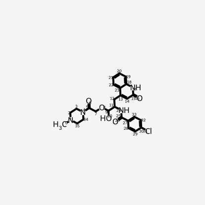 CN1CCN(C(=O)COC(O)C(Cc2cc(=O)[nH]c3ccccc23)NC(=O)c2ccc(Cl)cc2)CC1